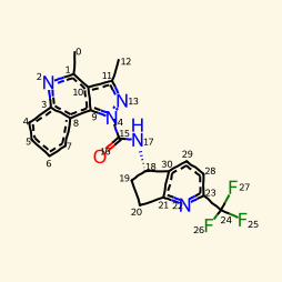 Cc1nc2ccccc2c2c1c(C)nn2C(=O)N[C@H]1CCc2nc(C(F)(F)F)ccc21